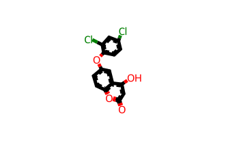 O=c1cc(O)c2cc(Oc3ccc(Cl)cc3Cl)ccc2o1